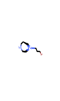 BrCCCN1CCCNCC1